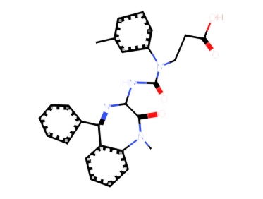 Cc1cccc(N(CCC(=O)O)C(=O)NC2N=C(c3ccccc3)c3ccccc3N(C)C2=O)c1